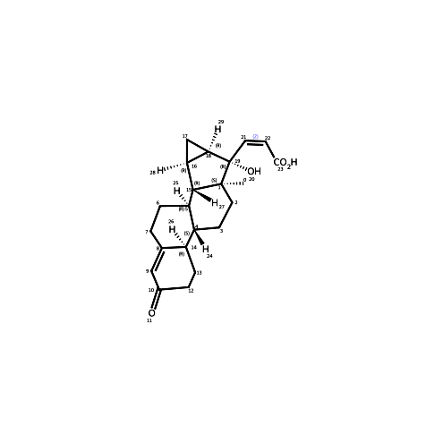 C[C@]12CC[C@H]3[C@@H](CCC4=CC(=O)CC[C@@H]43)[C@@H]1[C@H]1C[C@H]1[C@@]2(O)/C=C\C(=O)O